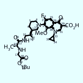 COc1c(N2CCCC(=C(F)CNC(=O)[C@H](C)NCC(=O)OC(C)(C)C)C2)c(F)cc2c(=O)c(C(=O)O)cn(C3CC3)c12